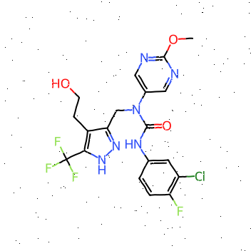 COc1ncc(N(Cc2n[nH]c(C(F)(F)F)c2CCO)C(=O)Nc2ccc(F)c(Cl)c2)cn1